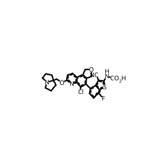 N#Cc1c(NC(=O)O)sc2c(F)ccc(-c3c4c(c5ccc(OCC67CCCN6CCC7)nc5c3Cl)COC4)c12